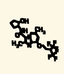 Cc1cc(OCCC(C(F)(F)F)C(F)(F)F)c2nc(C)c(C(=O)NC3CCCC3O)n2c1